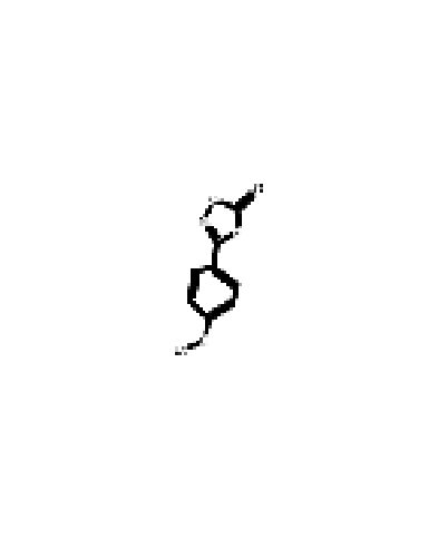 CCOc1ccc(-c2noc(=O)o2)cc1